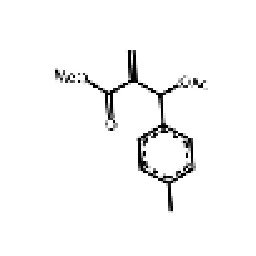 C=C(C(=O)OC)C(OC(C)=O)c1ccc(C)cc1